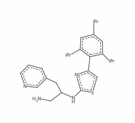 CC(C)c1cc(C(C)C)c(-c2csc(NC(CN)Cc3cccnc3)n2)c(C(C)C)c1